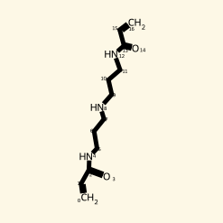 C=CC(=O)NCCCNCCCNC(=O)C=C